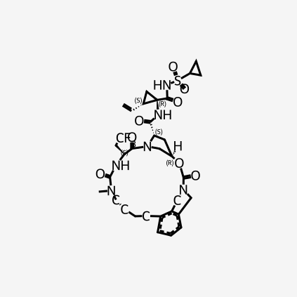 C=C[C@@H]1C[C@]1(NC(=O)[C@@H]1C[C@@H]2CN1C(=O)[C@H](CC(F)(F)F)NC(=O)N(C)CCCCc1cccc3c1CN(C3)C(=O)O2)C(=O)NS(=O)(=O)C1CC1